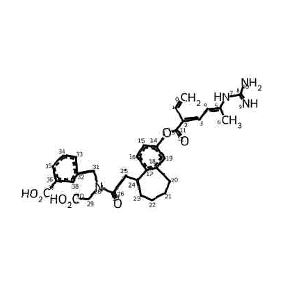 C=C/C(=C\C=C(/C)NC(=N)N)C(=O)Oc1ccc2c(c1)CCCCC2CC(=O)N(CC(=O)O)Cc1cccc(C(=O)O)c1